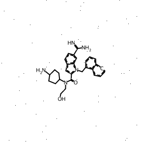 N=C(N)c1ccc2cc(C(=O)N(CCO)C3CCC(N)CC3)n(Cc3cccc4ccccc34)c2c1